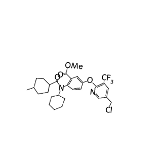 COC(=O)c1cc(Oc2ncc(CCl)cc2C(F)(F)F)ccc1N(C(=O)C1CCC(C)CC1)C1CCCCC1